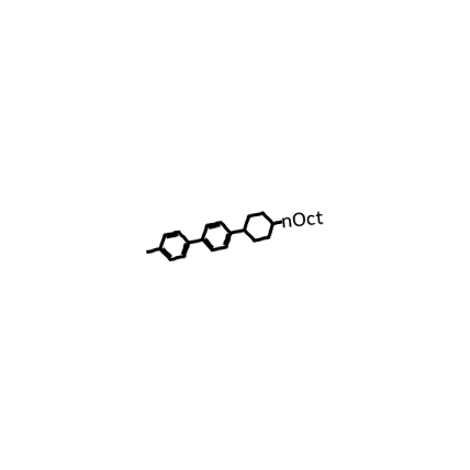 CCCCCCCCC1CCC(c2ccc(-c3ccc(C)cc3)cc2)CC1